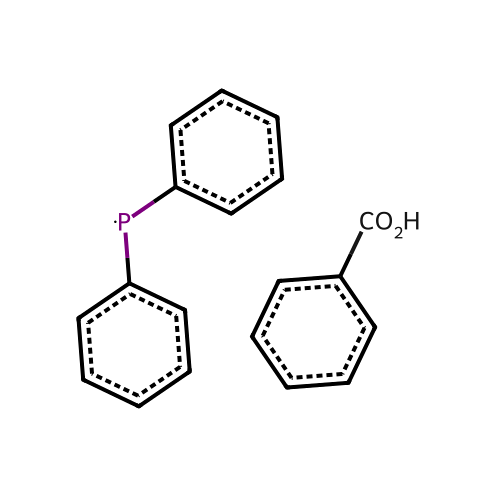 O=C(O)c1ccccc1.c1ccc([P]c2ccccc2)cc1